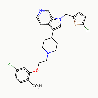 O=C(O)c1ccc(Cl)cc1OCCN1CCC(c2cn(Cc3ccc(Cl)s3)c3cnccc23)CC1